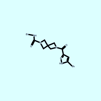 CCNC(=O)N1CC2(C1)CN(C(=O)c1cc(C(C)C)[nH]n1)C2